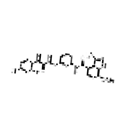 COc1ccc(C(=O)Nc2cccc(CNC(=O)Nc3ccc(Cl)cc3F)c2)c2c(N)noc12